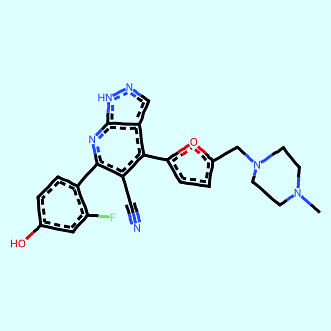 CN1CCN(Cc2ccc(-c3c(C#N)c(-c4ccc(O)cc4F)nc4[nH]ncc34)o2)CC1